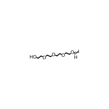 OCCOCCOCCOCCOPI